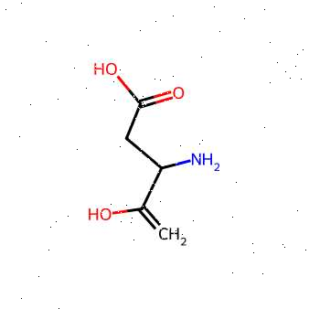 C=C(O)C(N)CC(=O)O